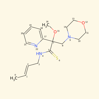 CC=CCNC(=S)C(CN1CCOCC1)(OC)c1ccccn1